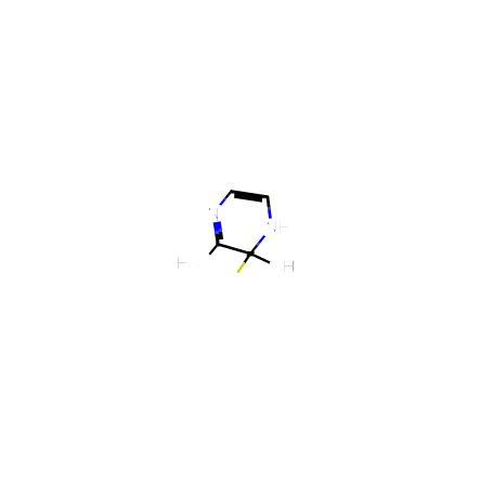 CC1=NC=CNC1(C)S